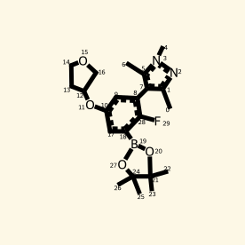 Cc1nn(C)c(C)c1-c1cc(OC2CCOC2)cc(B2OC(C)(C)C(C)(C)O2)c1F